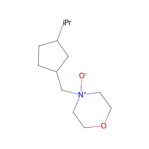 CC(C)C1CCC(C[N+]2([O-])CCOCC2)C1